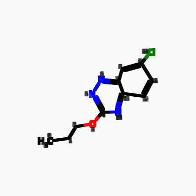 CCCOc1nnc2cc(Cl)ccc2n1